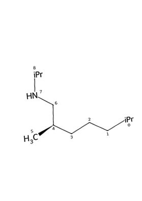 CC(C)CCC[C@@H](C)CNC(C)C